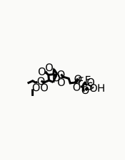 CCOC(CC)OC(=O)C1C2OC3C(OC(=O)C31)C2OC(=O)CCC(=O)OC(C)C(F)(F)S(=O)(=O)O